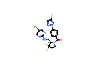 O=C(c1ccc(-n2ncc(F)n2)cc1)N1CCC(F)(F)[C@H]1CNc1ncc(Cl)cn1